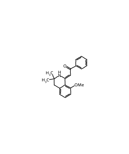 COc1cccc2c1C(=CC(=O)c1ccccc1)NC(C)(C)C2